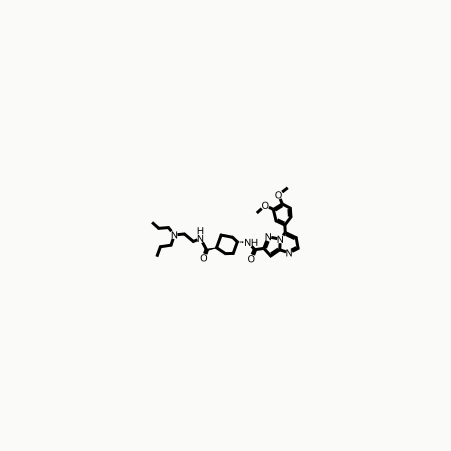 CCCN(CCC)CCNC(=O)[C@H]1CC[C@H](NC(=O)c2cc3nccc(-c4ccc(OC)c(OC)c4)n3n2)CC1